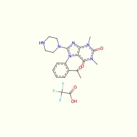 CC(=O)c1ccccc1-n1c(N2CCNCC2)nc2c1c(=O)n(C)c(=O)n2C.O=C(O)C(F)(F)F